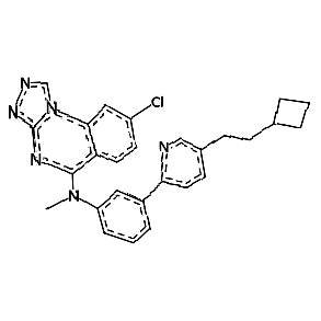 CN(c1cccc(-c2ccc(CCC3CCC3)cn2)c1)c1nc2nncn2c2cc(Cl)ccc12